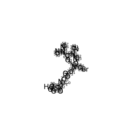 CCc1c2c(nc3ccc(OC(=O)c4ccc(CN(CCCCOc5cc(CN(Cc6ccccn6)Cc6ccccn6)cc(CN(Cc6ccccn6)Cc6ccccn6)c5)C(=O)c5ccc(Br)cc5)cc4)cc13)-c1cc3c(c(=O)n1C2)COC(=O)[C@]3(O)CC